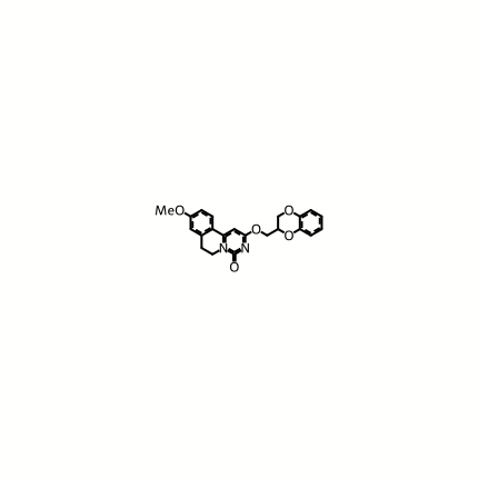 COc1ccc2c(c1)CCn1c-2cc(OCC2COc3ccccc3O2)nc1=O